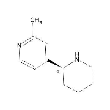 Cc1cc([C@@H]2CCCCN2)ccn1